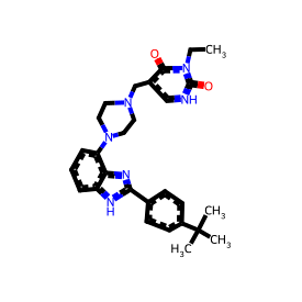 CCn1c(=O)[nH]cc(CN2CCN(c3cccc4[nH]c(-c5ccc(C(C)(C)C)cc5)nc34)CC2)c1=O